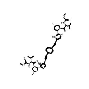 COC(=O)N[C@H](C(=O)N1C[C@@H](C)C[C@H]1c1ncc(C#Cc2ccc(C#Cc3cnc([C@@H]4C[C@H](C)CN4C(=O)[C@H](C(C)C)N(C)C(=O)OC)[nH]3)cc2)[nH]1)C(C)C